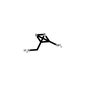 NCC12B3B1C32N